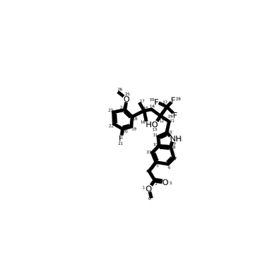 COC(=O)Cc1ccc2[nH]c(CC(O)(CC(C)(C)c3cc(F)ccc3OC)C(F)(F)F)cc2c1